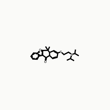 CC(C)N(CCSC1=CC2C(C=C1)C(=O)c1c(oc3ccccc13)C2(C)C)C(C)C